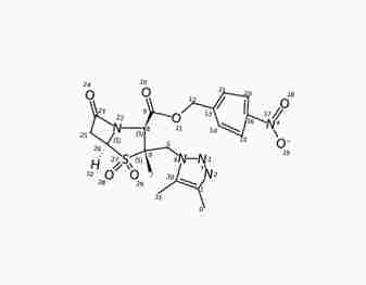 Cc1nnn(C[C@@]2(C)[C@H](C(=O)OCc3ccc([N+](=O)[O-])cc3)N3C(=O)C[C@@H]3S2(=O)=O)c1C